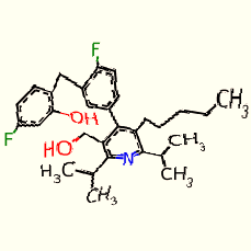 CCCCCc1c(C(C)C)nc(C(C)C)c(CO)c1-c1ccc(F)c(Cc2ccc(F)cc2O)c1